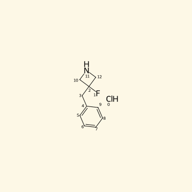 Cl.FC1(Cc2ccccc2)CNC1